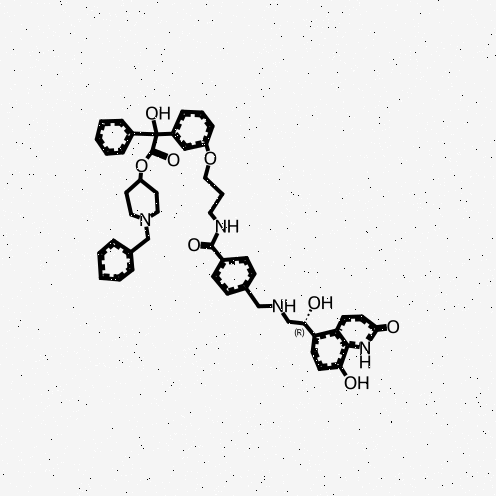 O=C(NCCCOc1cccc(C(O)(C(=O)OC2CCN(Cc3ccccc3)CC2)c2ccccc2)c1)c1ccc(CNC[C@H](O)c2ccc(O)c3[nH]c(=O)ccc23)cc1